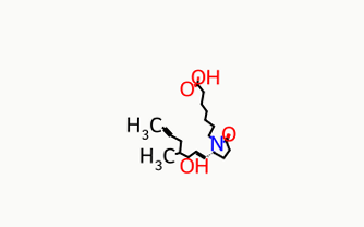 CC#CCC(C)[C@H](O)/C=C/[C@H]1CCC(=O)N1CCCCCCC(=O)O